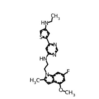 CCNc1csc(-c2cc(NCCn3c(C)cc4c(OC)cc(F)cc43)ncn2)c1